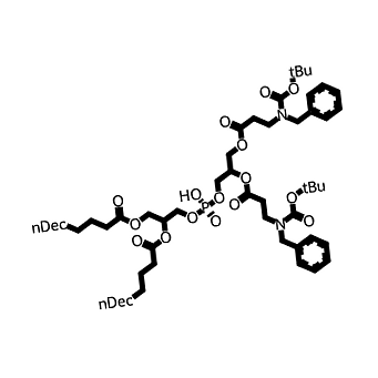 CCCCCCCCCCCCCC(=O)OCC(COP(=O)(O)OCC(COC(=O)CCN(Cc1ccccc1)C(=O)OC(C)(C)C)OC(=O)CCN(Cc1ccccc1)C(=O)OC(C)(C)C)OC(=O)CCCCCCCCCCCCC